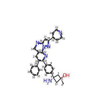 C[C@]1(O)C[C@](N)(c2ccc(-c3nc4c(cnc5cc(-c6ccncc6)nn54)cc3-c3ccccc3)cc2)C1